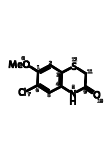 COc1cc2c(cc1Cl)NC(=O)CS2